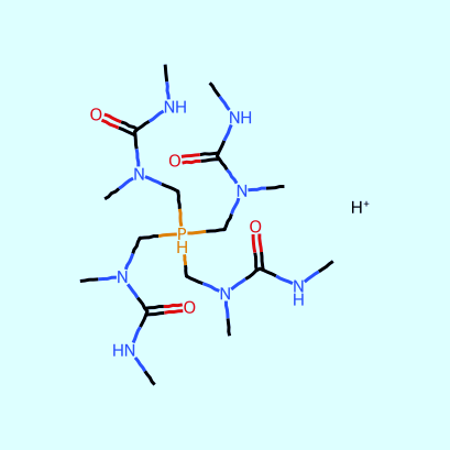 CNC(=O)N(C)C[PH](CN(C)C(=O)NC)(CN(C)C(=O)NC)CN(C)C(=O)NC.[H+]